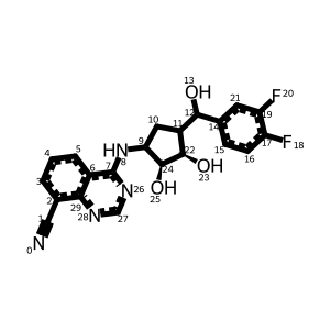 N#Cc1cccc2c(NC3CC(C(O)c4ccc(F)c(F)c4)[C@@H](O)[C@H]3O)ncnc12